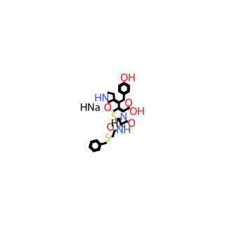 O=C(CSCc1ccccc1)N[C@@H]1C(=O)N2C(C(=O)O)=C(C(Cc3ccc(O)cc3)=C3CCNC3=O)CS[C@H]12.[NaH]